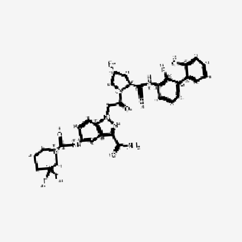 NC(=O)c1nn(CC(=O)N2C[C@H](F)C[C@H]2C(=O)Nc2cccc(-c3ccccc3Cl)c2F)c2ccc(NC(=O)N3CCCC(F)(F)C3)cc12